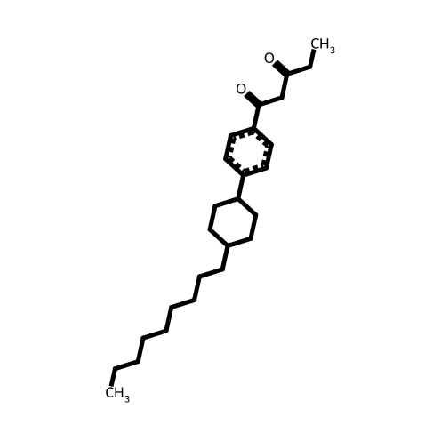 CCCCCCCCCC1CCC(c2ccc(C(=O)CC(=O)CC)cc2)CC1